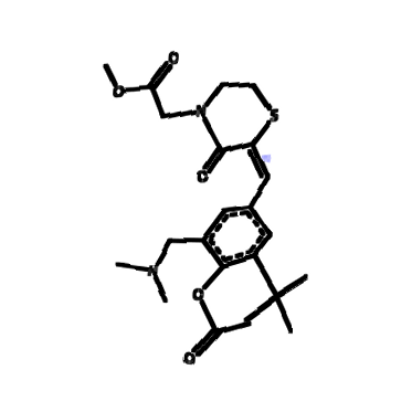 COC(=O)CN1CCS/C(=C/c2cc(CN(C)C)c(OC(C)=O)c(C(C)(C)C)c2)C1=O